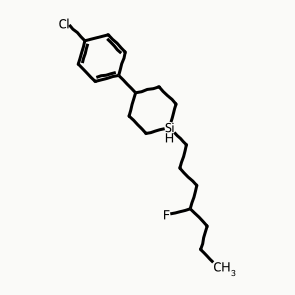 CCCC(F)CCC[SiH]1CCC(c2ccc(Cl)cc2)CC1